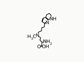 CN(CCCCc1ccc2c(n1)NCCC2)CCC(N)C(=O)O